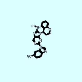 CCNc1nc2cnc(-n3cnc4ccc(C#N)cc43)nc2n1[C@@H]1CCOc2ccccc21